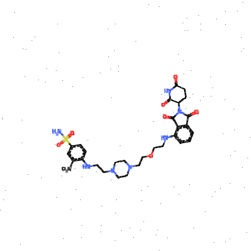 NS(=O)(=O)c1ccc(NCCN2CCN(CCOCCNc3cccc4c3C(=O)N(C3CCC(=O)NC3=O)C4=O)CC2)c([N+](=O)[O-])c1